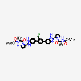 COC(=O)N[C@H](C(=O)N1CCC[C@H]1c1nc2cc(-c3ccc(-c4ccc5nc([C@@H]6CCCN6C(=O)[C@@H](NC(=O)OC)C(C)C)[nH]c5c4)cc3CF)ccc2[nH]1)C(C)C